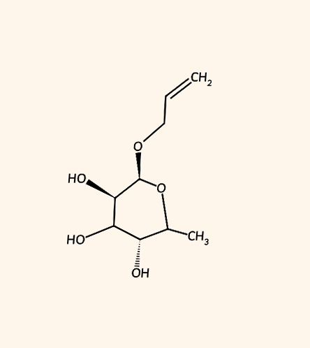 C=CCO[C@H]1OC(C)[C@H](O)C(O)[C@H]1O